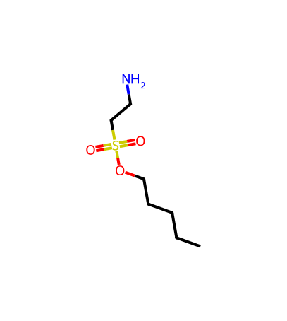 CCCCCOS(=O)(=O)CCN